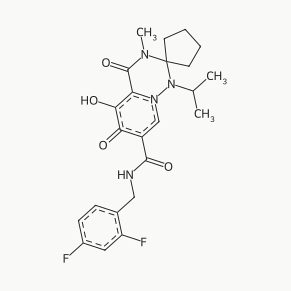 CC(C)N1n2cc(C(=O)NCc3ccc(F)cc3F)c(=O)c(O)c2C(=O)N(C)C12CCCC2